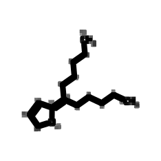 CCCCCC(CCCCC)=C1C=CCO1